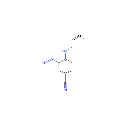 C=CCNc1ccc(C#N)cc1N=N